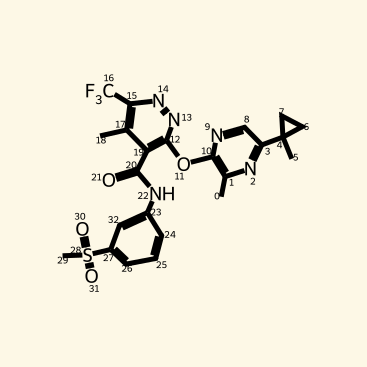 Cc1nc(C2(C)CC2)cnc1Oc1nnc(C(F)(F)F)c(C)c1C(=O)Nc1cccc(S(C)(=O)=O)c1